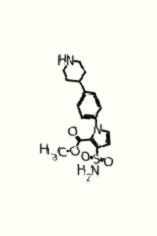 COC(=O)c1c(S(N)(=O)=O)ccn1-c1ccc(C2CCNCC2)cc1